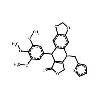 COc1cc(C2C3=C(COC3=O)N(Cc3cccs3)c3cc4c(cc32)OCO4)cc(OC)c1OC